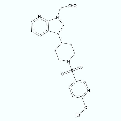 CCOc1ccc(S(=O)(=O)N2CCC(C3CN(CC=O)c4ncccc43)CC2)cn1